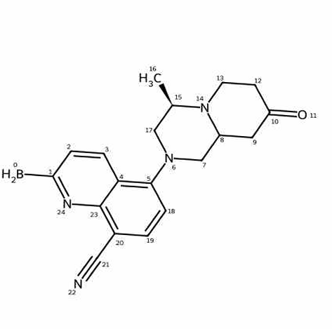 Bc1ccc2c(N3CC4CC(=O)CCN4[C@H](C)C3)ccc(C#N)c2n1